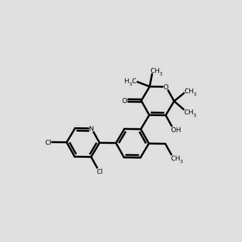 CCc1ccc(-c2ncc(Cl)cc2Cl)cc1C1=C(O)C(C)(C)OC(C)(C)C1=O